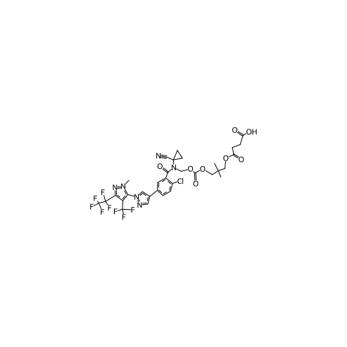 Cn1nc(C(F)(F)C(F)(F)F)c(C(F)(F)F)c1-n1cc(-c2ccc(Cl)c(C(=O)N(COC(=O)OCC(C)(C)COC(=O)CCC(=O)O)C3(C#N)CC3)c2)cn1